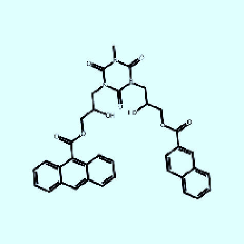 Cn1c(=O)n(CC(O)COC(=O)c2ccc3ccccc3c2)c(=O)n(CC(O)COC(=O)c2c3ccccc3cc3ccccc23)c1=O